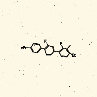 CCCc1ccc(-c2ccc(-c3ccc(CC)c(C)c3F)cc2F)cc1